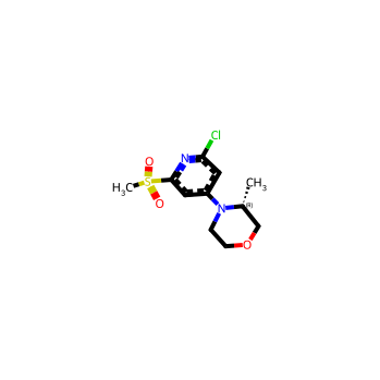 C[C@@H]1COCCN1c1cc(Cl)nc(S(C)(=O)=O)c1